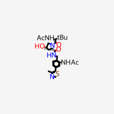 CC(=O)Nc1cc(-c2scnc2C)ccc1CNC(=O)[C@@H]1C[C@@H](O)CN1C(=O)[C@@H](NC(C)=O)C(C)(C)C